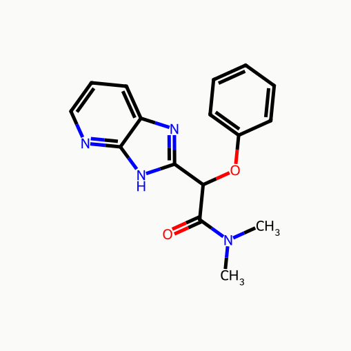 CN(C)C(=O)C(Oc1ccccc1)c1nc2cccnc2[nH]1